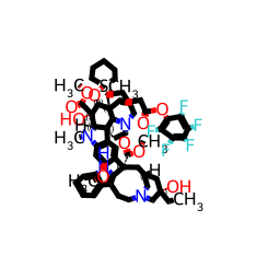 CC[C@]1(O)C[C@@H]2CN(CCc3c([nH]c4ccccc34)[C@@](C(=O)OC)(c3cc4c(cc3OC)N(C)[C@H]3[C@@](O)(C(=O)OC)[C@H](O[Si]5(CCCCC(=O)Oc6c(F)c(F)c(F)c(F)c6F)CCCCC5)[C@]5(CC)C=CCN6CC[C@]43C65)C2)C1